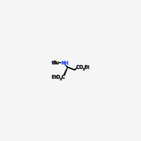 CCOC(=O)C[C@H](NC(C)(C)C)C(=O)OCC